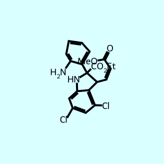 CCOC(=O)C1(c2ccccc2N)Nc2cc(Cl)cc(Cl)c2C1/C=C\C(=O)OC